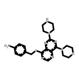 O=[N+]([O-])c1ccc(CSc2ncnc3c(N4CCOCC4)nc(N4CCNCC4)nc23)cc1